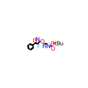 CC(C)(C)OC(=O)NCCOc1noc(-c2ccccc2)c1F